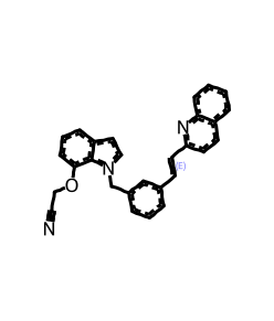 N#CCOc1cccc2ccn(Cc3cccc(/C=C/c4ccc5ccccc5n4)c3)c12